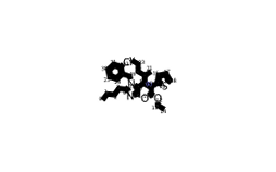 CCCCc1ncc(/C(=C(\C(=O)OCC)c2cccs2)C(C)CCC)n1Cc1ccccc1Cl